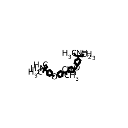 CCC(N)(CC)c1ccc(Oc2ccc(C(C)(C)c3ccc(Oc4ccc(C(N)(CC)CC)cc4)cc3)cc2)cc1